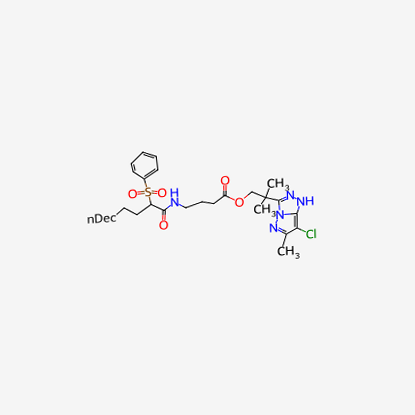 CCCCCCCCCCCCC(C(=O)NCCCC(=O)OCC(C)(C)c1n[nH]c2c(Cl)c(C)nn12)S(=O)(=O)c1ccccc1